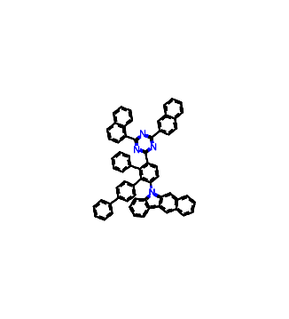 c1ccc(-c2ccc(-c3c(-n4c5ccccc5c5cc6ccccc6cc54)ccc(-c4nc(-c5ccc6ccccc6c5)nc(-c5cccc6ccccc56)n4)c3-c3ccccc3)cc2)cc1